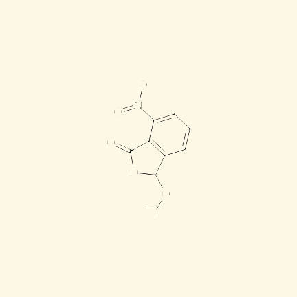 O=C1OC([O][Ti])c2cccc([N+](=O)[O-])c21